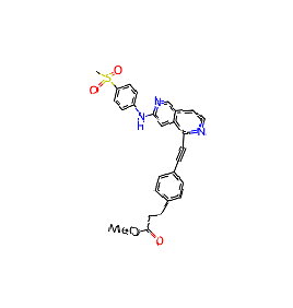 COC(=O)CCc1ccc(C#Cc2nccc3cnc(Nc4ccc(S(C)(=O)=O)cc4)cc23)cc1